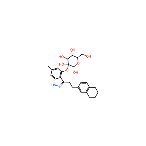 Cc1cc(O[C@]2(O)[C@@H](O)O[C@H](CO)[C@@H](O)[C@@H]2O)c2c(CCc3ccc4c(c3)CCCC4)n[nH]c2c1